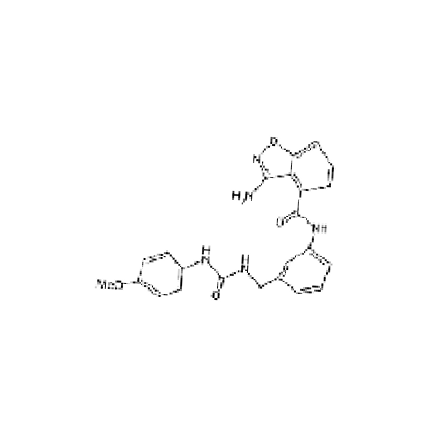 COc1ccc(NC(=O)NCc2cccc(NC(=O)c3cccc4onc(N)c34)c2)cc1